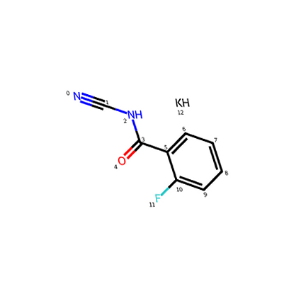 N#CNC(=O)c1ccccc1F.[KH]